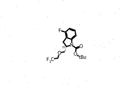 CC(C)(C)OC(=O)N1c2cccc(F)c2C[C@H]1COCC(F)(F)F